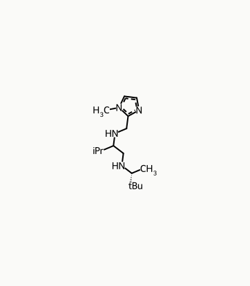 CC(C)C(CN[C@H](C)C(C)(C)C)NCc1nccn1C